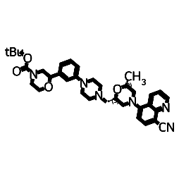 C[C@@H]1CN(c2ccc(C#N)c3ncccc23)C[C@H](CN2CCN(c3cccc(C4CN(C(=O)OC(C)(C)C)CCO4)c3)CC2)O1